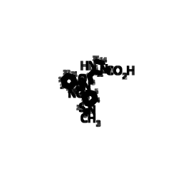 Cc1nc2ccc(N(CCC3CN(C(=O)O)CCN3)S(=O)(=O)c3ccccc3[N+](=O)[O-])cc2s1